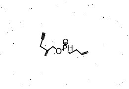 C#CCC(=C)CO[PH](=O)CCC=C